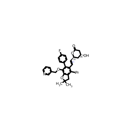 CC(C)c1c(/C=C/[C@@H]2C[C@@H](O)CC(=O)O2)c(-c2ccc(F)cc2)c(OCc2cccnc2)c2c1CC(C)(C)O2